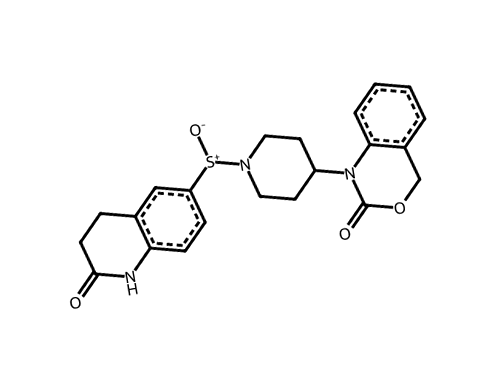 O=C1CCc2cc([S+]([O-])N3CCC(N4C(=O)OCc5ccccc54)CC3)ccc2N1